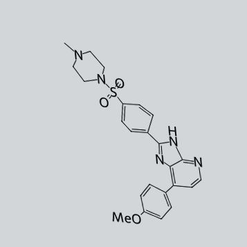 COc1ccc(-c2ccnc3[nH]c(-c4ccc(S(=O)(=O)N5CCN(C)CC5)cc4)nc23)cc1